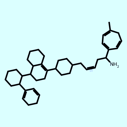 CC1=CC=C(C(N)C/C=C\CC2CCC(C3=C4CCCCC4C(C4CCCCC4C4=CCCC=C4)CC3)CC2)C=CC1